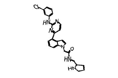 O=C(Cn1ccc2c(-c3ccnc(Nc4cccc(Cl)c4)n3)cccc21)NCC1CCCN1